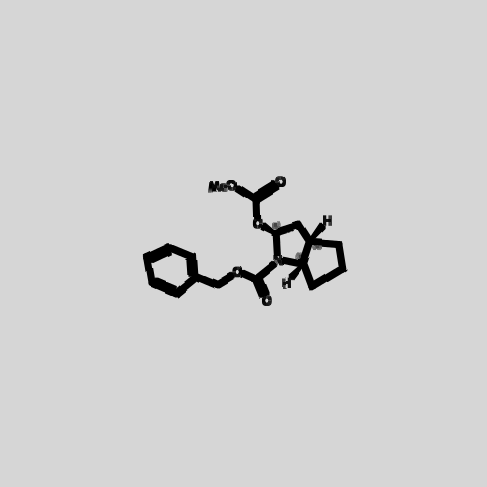 COC(=O)O[C@H]1C[C@@H]2CCC[C@@H]2N1C(=O)OCc1ccccc1